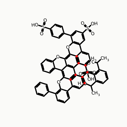 CC(C)c1cccc(C(C)C)c1-n1c(=O)c2cc(Oc3c(-c4ccc(S(=O)(=O)O)cc4)cc(S(=O)(=O)O)cc3-c3ccc(S(=O)(=O)O)cc3)c3oc4ccccc4c4c(Oc5c(-c6ccccc6)cccc5-c5ccccc5)cc(c1=O)c2c34